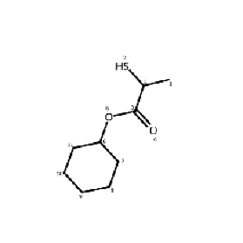 CC(S)C(=O)OC1CCCCC1